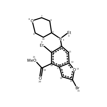 CCc1c(N(CC)C2CCOCC2)cc2oc(Br)cc2c1C(=O)OC